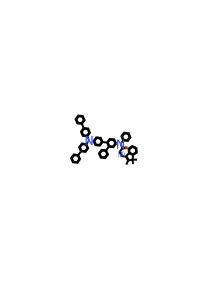 C=C(/C=C\C1=C(C)C(C)(C)c2ccccc21)N(c1ccccc1)c1ccc(-c2ccc(N(c3ccc(-c4ccccc4)cc3)c3ccc(-c4ccccc4)cc3)cc2)c(-c2ccccc2)c1